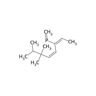 C=PC(/C=C\C(C)(C)C(C)C)=C/C